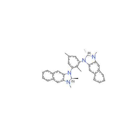 Cc1cc(N2c3cc4ccccc4cc3N(C)[C@H]2C)c(C)c(N2c3cc4ccccc4cc3N(C)[C@@H]2C)c1